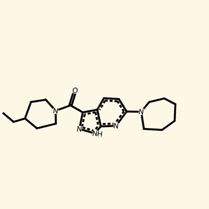 CCC1CCN(C(=O)c2n[nH]c3nc(N4CCCCCC4)ccc23)CC1